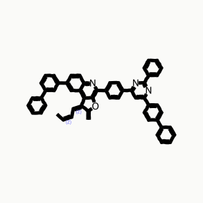 C=c1oc2c(-c3ccc(-c4cc(-c5ccc(-c6ccccc6)cc5)nc(-c5ccccc5)n4)cc3)nc3ccc(-c4cccc(-c5ccccc5)c4)cc3c2/c1=C/C=C\C